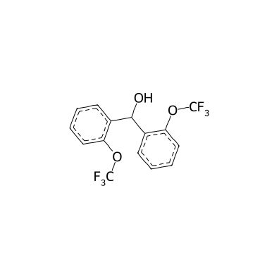 OC(c1ccccc1OC(F)(F)F)c1ccccc1OC(F)(F)F